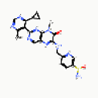 COc1ncnc(C2CC2)c1-c1ncc2nc(NCc3ccc([S+](N)[O-])cn3)c(=O)n(C(C)C)c2n1